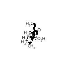 C/C=C\CC1=C(C)[C@@H]([C@]2(C(=O)O)[C@H](C=C(C)C)C2(C)C)CC1=O